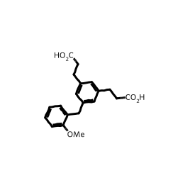 COc1ccccc1Cc1cc(CCC(=O)O)cc(CCC(=O)O)c1